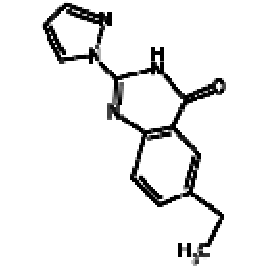 CCc1ccc2nc(-n3cccn3)[nH]c(=O)c2c1